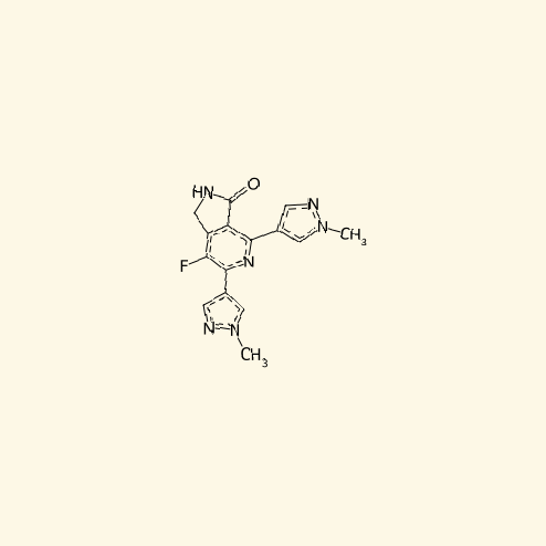 Cn1cc(-c2nc(-c3cnn(C)c3)c3c(c2F)CNC3=O)cn1